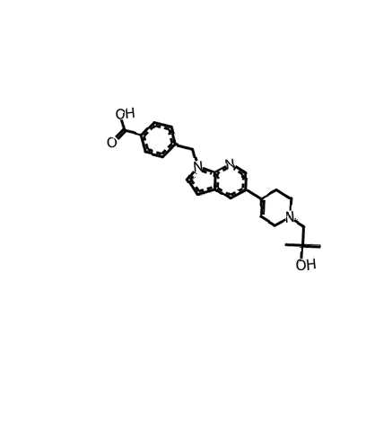 CC(C)(O)CN1CC=C(c2cnc3c(ccn3Cc3ccc(C(=O)O)cc3)c2)CC1